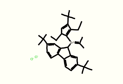 CCC1=[C]([Zr+2](=[C](C)C)[CH]2c3cc(C(C)(C)C)ccc3-c3ccc(C(C)(C)C)cc32)C(CC)C=C1C(C)(C)C.[Cl-].[Cl-]